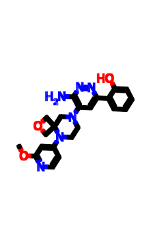 COc1cc(N2CCN(c3cc(-c4ccccc4O)nnc3N)CC23COC3)ccn1